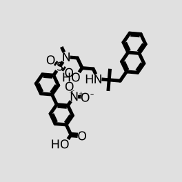 CN(CC(O)CNC(C)(C)Cc1ccc2ccccc2c1)S(=O)(=O)c1cccc(-c2ccc(C(=O)O)cc2[N+](=O)[O-])c1